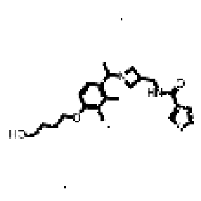 Cc1c(OCCCCO)ccc(C(C)N2CC(CNC(=O)c3ccsc3)C2)c1C